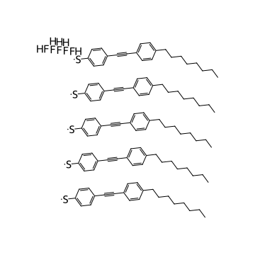 CCCCCCCCc1ccc(C#Cc2ccc([S])cc2)cc1.CCCCCCCCc1ccc(C#Cc2ccc([S])cc2)cc1.CCCCCCCCc1ccc(C#Cc2ccc([S])cc2)cc1.CCCCCCCCc1ccc(C#Cc2ccc([S])cc2)cc1.CCCCCCCCc1ccc(C#Cc2ccc([S])cc2)cc1.F.F.F.F.F